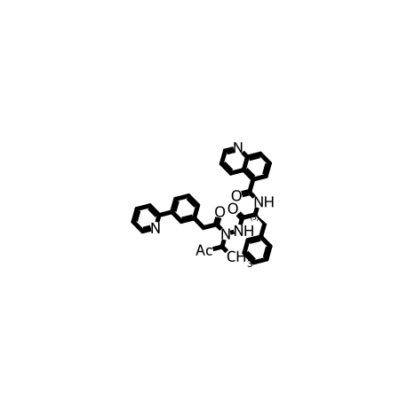 CC(=O)C(C)N(NC(=O)[C@H](Cc1ccccc1)NC(=O)c1cccc2ncccc12)C(=O)Cc1cccc(-c2ccccn2)c1